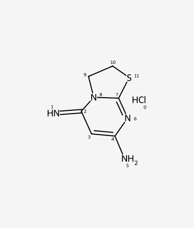 Cl.N=c1cc(N)nc2n1CCS2